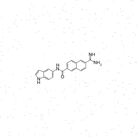 N=C(N)c1ccc2cc(C(=O)Nc3ccc4[nH]ccc4c3)ccc2c1